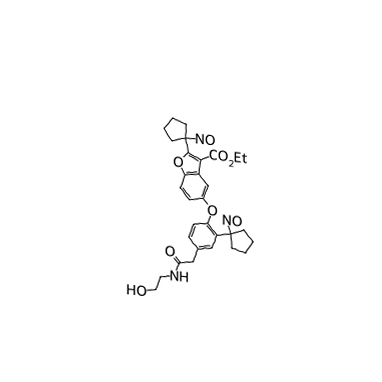 CCOC(=O)c1c(C2(N=O)CCCC2)oc2ccc(Oc3ccc(CC(=O)NCCO)cc3C3(N=O)CCCC3)cc12